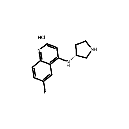 Cl.Fc1ccc2nccc(N[C@@H]3CCNC3)c2c1